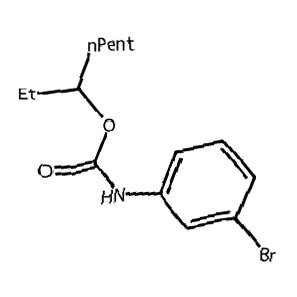 CCCCCC(CC)OC(=O)Nc1cccc(Br)c1